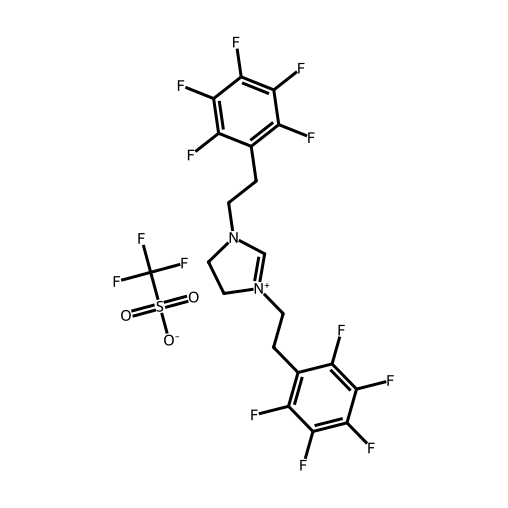 Fc1c(F)c(F)c(CCN2C=[N+](CCc3c(F)c(F)c(F)c(F)c3F)CC2)c(F)c1F.O=S(=O)([O-])C(F)(F)F